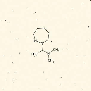 CC(N(C)C)N1CCCCC[N]1